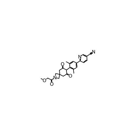 COCC(=O)N1CC2(CC(=O)C(c3c(C)cc(-c4ccc(C#N)cn4)cc3C)C(=O)C2)C1